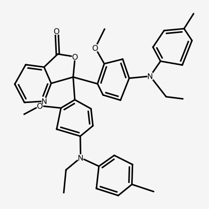 CCN(c1ccc(C)cc1)c1ccc(C2(c3ccc(N(CC)c4ccc(C)cc4)cc3OC)OC(=O)c3cccnc32)c(OC)c1